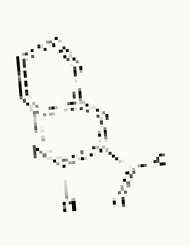 O=C(Cl)c1cc2ccccc2nc1Cl